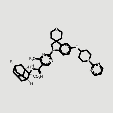 O=C(N[C@]1(C(=O)O)[C@H]2CC3C[C@H]1C[C@@](F)(C3)C2)c1cnc(N2CC3(CCOCC3)c3cc(OC4CCN(c5ncccn5)CC4)ccc32)nc1C(F)(F)F